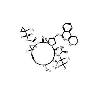 CC[C@@H]1C[C@@H](C)CCC=C[C@@H]2C[C@@]2(C(=O)NS(=O)(=O)C2(C)CC2)NC(=O)[C@@H]2C[C@@H](Oc3nc4c(c5ccccc35)CCCO4)CN2C(=O)[C@H]1N(C(=O)O)C(C)(C)C(F)(F)F